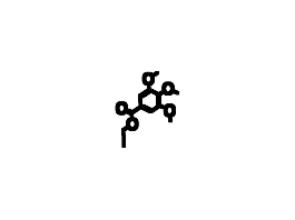 COc1cc(C(=O)OCI)cc(OC)c1OC